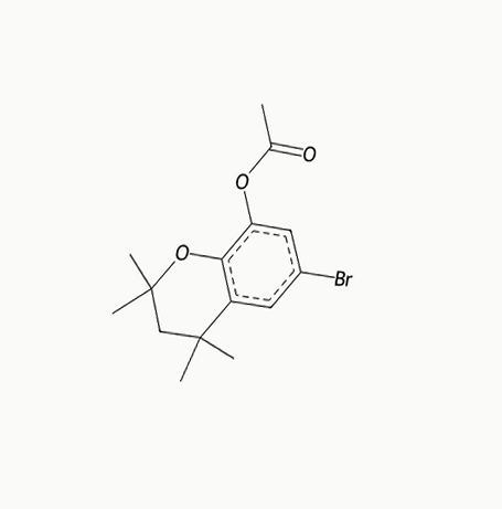 CC(=O)Oc1cc(Br)cc2c1OC(C)(C)CC2(C)C